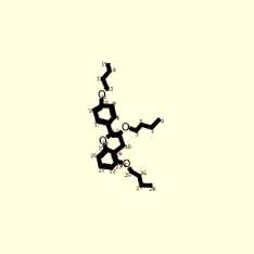 CCCCOC1=C(c2ccc(OCCCC)cc2)Oc2cccc(OCCCC)c2C1